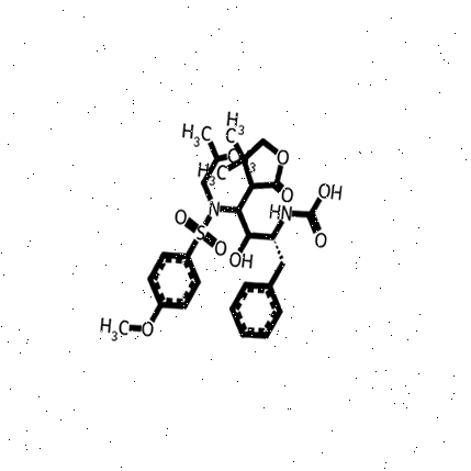 COc1ccc(S(=O)(=O)N(CC(C)C)C(C(O)[C@@H](Cc2ccccc2)NC(=O)O)C2C(=O)OCC2(C)C)cc1